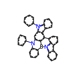 c1ccc(N2c3ccccc3B3c4c2cc2c(c4-c4cccc5c6ccccc6n3c45)c3ccccc3n2-c2ccccc2)cc1